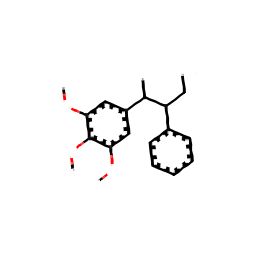 C[CH]C(c1ccccc1)C(C)c1cc(OC)c(OC)c(OC)c1